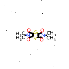 CC(C)n1c(=O)c2sc3c(=O)n(C(C)C)c(=O)c3sc2c1=O